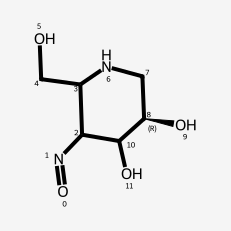 O=NC1C(CO)NC[C@@H](O)C1O